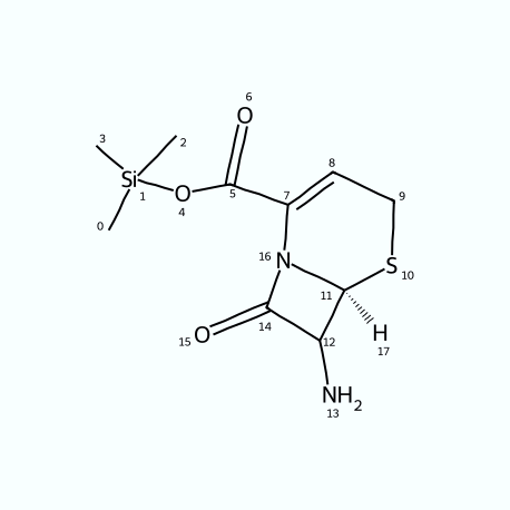 C[Si](C)(C)OC(=O)C1=CCS[C@H]2C(N)C(=O)N12